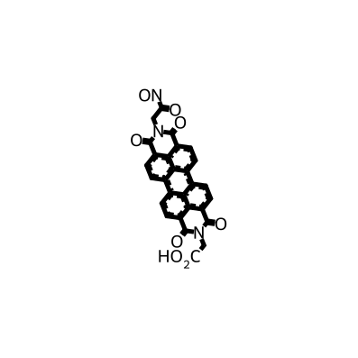 O=NC(=O)CN1C(=O)c2ccc3c4ccc5c6c(ccc(c7ccc(c2c37)C1=O)c64)C(=O)N(CC(=O)O)C5=O